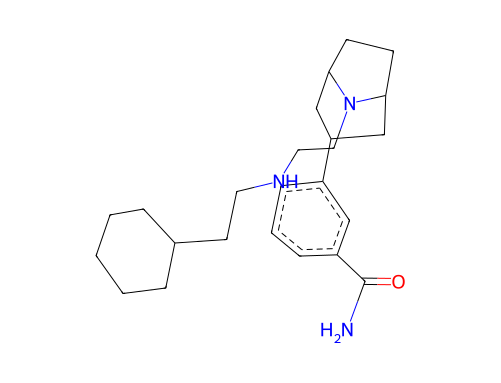 NC(=O)c1cccc(C2CC3CCC(C2)N3CCNCCC2CCCCC2)c1